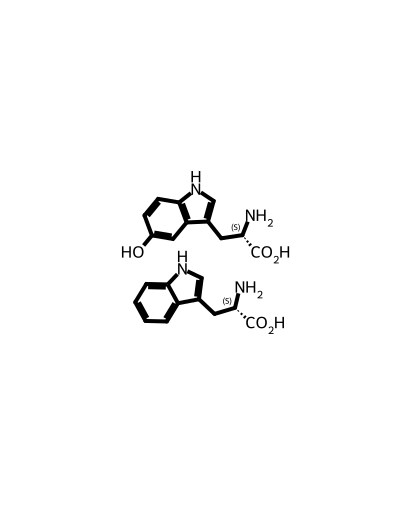 N[C@@H](Cc1c[nH]c2ccc(O)cc12)C(=O)O.N[C@@H](Cc1c[nH]c2ccccc12)C(=O)O